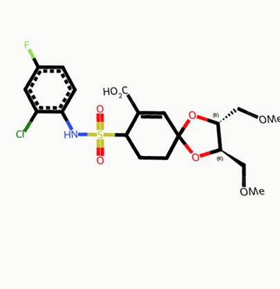 COC[C@H]1OC2(C=C(C(=O)O)C(S(=O)(=O)Nc3ccc(F)cc3Cl)CC2)O[C@@H]1COC